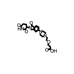 O=C(O)CCOCCN1CCN(c2ccc3c(c2)CN(C2CCC(=O)NC2=O)C3=O)CC1